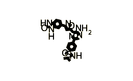 CC(C)S(=N)(=O)c1ccc(-c2cnc(N)c(-c3cc(-c4ccc5[nH]c(=O)[nH]c5c4)no3)n2)cc1